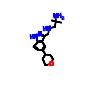 CC(C)(N)CNCc1n[nH]c2ccc(C3CCOCC3)cc12